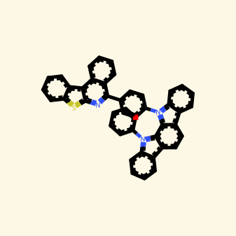 c1ccc(-n2c3ccccc3c3ccc4c5ccccc5n(-c5ccc(-c6nc7sc8ccccc8c7c7ccccc67)cc5)c4c32)cc1